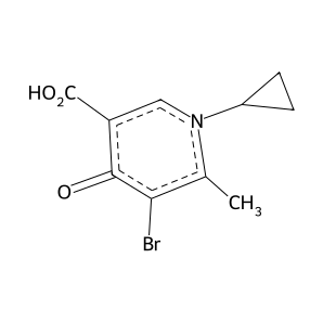 Cc1c(Br)c(=O)c(C(=O)O)cn1C1CC1